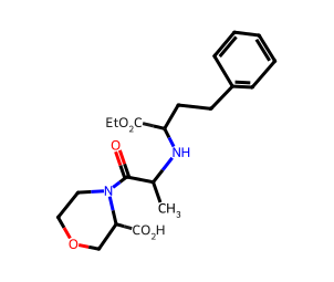 CCOC(=O)C(CCc1ccccc1)NC(C)C(=O)N1CCOCC1C(=O)O